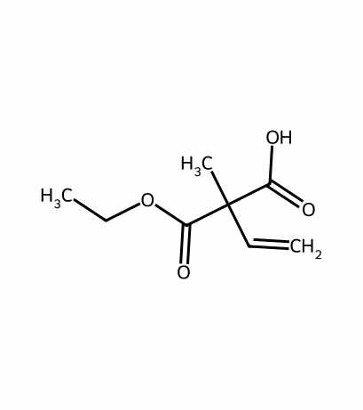 C=CC(C)(C(=O)O)C(=O)OCC